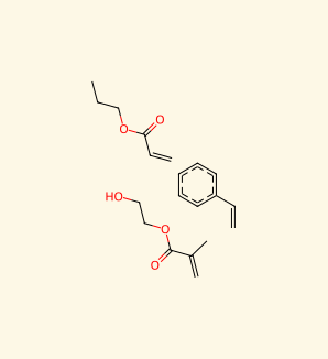 C=C(C)C(=O)OCCO.C=CC(=O)OCCC.C=Cc1ccccc1